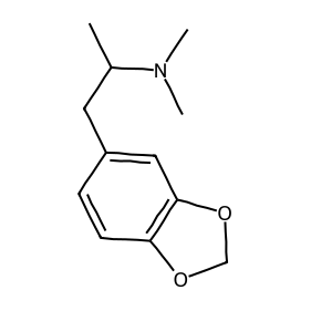 CC(Cc1ccc2c(c1)OCO2)N(C)C